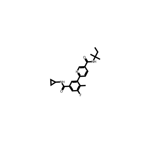 CCC(C)(C)NC(=O)c1ccc(-c2cc(C(=O)NC3CC3)cc(F)c2C)nc1